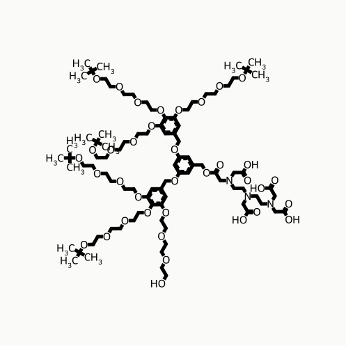 CC(C)(C)OCCOCCOCCOc1cc(COc2cc(COC(=O)CN(CCN(CCN(CC(=O)O)CC(=O)O)CC(=O)O)CC(=O)O)cc(OCc3cc(OCCOCCOCCOC(C)(C)C)c(OCCOCCOCCOC(C)(C)C)c(OCCOCCOCCOC(C)(C)C)c3)c2)cc(OCCOCCOCCO)c1OCCOCCOCCOC(C)(C)C